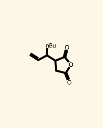 C=CC(CCCC)C1CC(=O)OC1=O